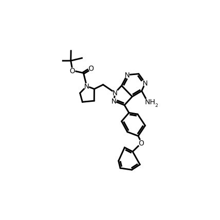 CC(C)(C)OC(=O)N1CCCC1Cn1nc(-c2ccc(Oc3ccccc3)cc2)c2c(N)ncnc21